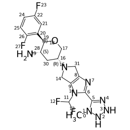 CN1NNN=C1c1nc2c(n1C(F)F)CN([C@H]1CO[C@H](c3cc(F)ccc3F)[C@@H](N)C1)C2